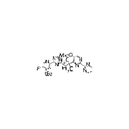 COc1cnc(-c2ncccn2)nc1C(C)(C)Cc1ccnc(-c2ncc(F)c(C(C)(C)C)n2)n1